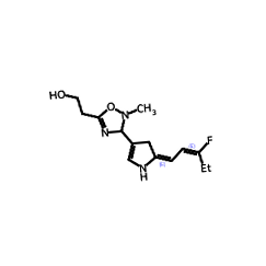 CC/C(F)=C\C=C1/CC(C2N=C(CCO)ON2C)=CN1